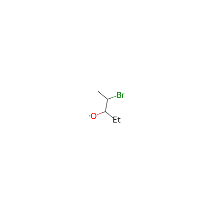 CCC([O])C(C)Br